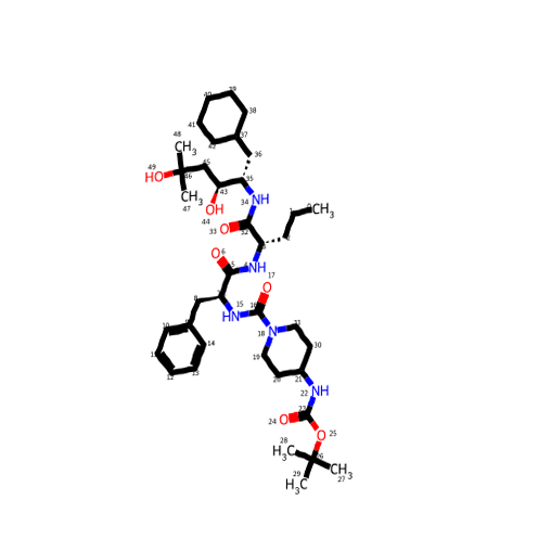 CCC[C@H](NC(=O)[C@H](Cc1ccccc1)NC(=O)N1CCC(NC(=O)OC(C)(C)C)CC1)C(=O)N[C@@H](CC1CCCCC1)[C@@H](O)CC(C)(C)O